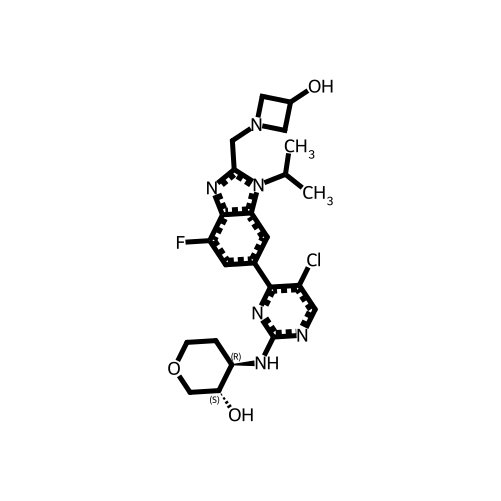 CC(C)n1c(CN2CC(O)C2)nc2c(F)cc(-c3nc(N[C@@H]4CCOC[C@H]4O)ncc3Cl)cc21